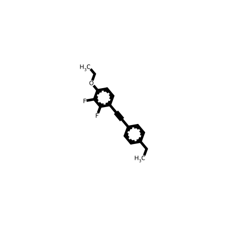 CCOc1ccc(C#Cc2ccc(CC)cc2)c(F)c1F